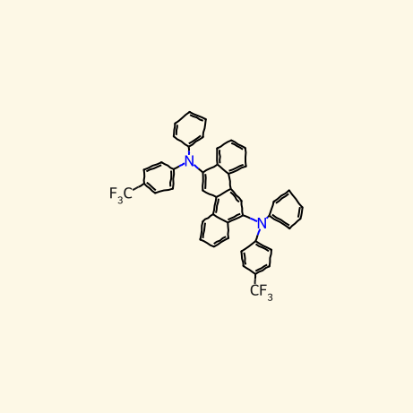 FC(F)(F)c1ccc(N(c2ccccc2)c2cc3c4ccccc4c(N(c4ccccc4)c4ccc(C(F)(F)F)cc4)cc3c3ccccc23)cc1